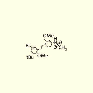 COCc1cc(NS(C)(=O)=O)ccc1C=Cc1cc(Br)cc(C(C)(C)C)c1OC